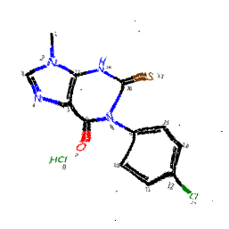 Cl.Cn1cnc2c(=O)n(-c3ccc(Cl)cc3)c(=S)[nH]c21